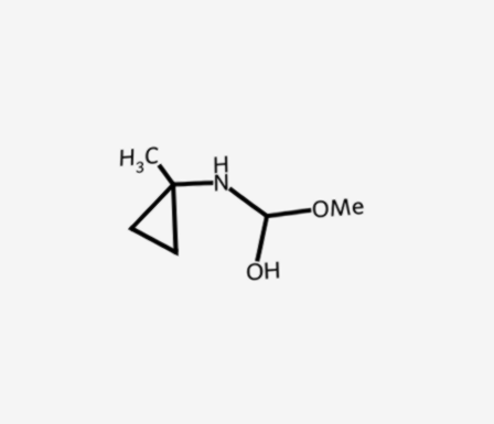 COC(O)NC1(C)CC1